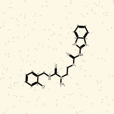 CN(CCOC(=O)Nc1nc2ccccc2o1)C(=O)NCc1ccccc1Cl